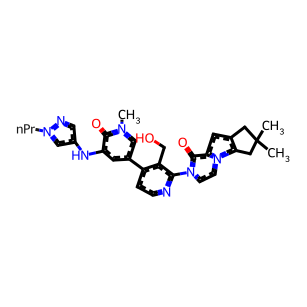 CCCn1cc(Nc2cc(-c3ccnc(-n4ccn5c6c(cc5c4=O)CC(C)(C)C6)c3CO)cn(C)c2=O)cn1